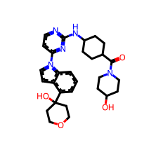 O=C(C1CCC(Nc2nccc(-n3ccc4c(C5(O)CCOCC5)cccc43)n2)CC1)N1CCC(O)CC1